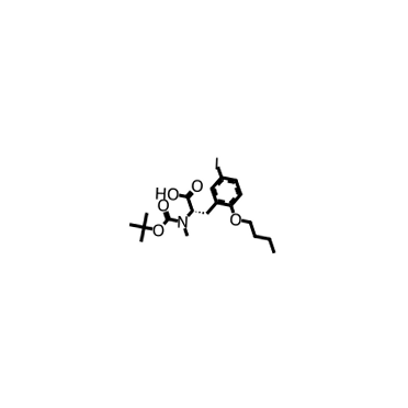 CCCCOc1ccc(I)cc1C[C@@H](C(=O)O)N(C)C(=O)OC(C)(C)C